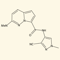 CNc1ccc2ccc(C(=O)Nc3cn(C)nc3C#N)n2n1